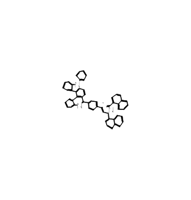 c1ccc(-n2c3ccccc3c3c4c(ccc32)c(-c2ccc(-c3cc(-c5cccc6ccccc56)nc(-c5cccc6ccccc56)n3)cc2)nc2ccccc24)cc1